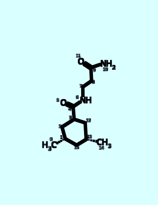 C[C@@H]1CC(C(=O)NCCC(N)=O)C[C@H](C)C1